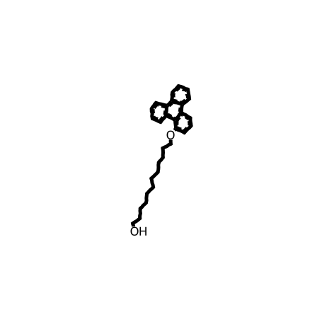 OCCCCCCCCCCCCOc1cccc2c3ccccc3c3ccccc3c12